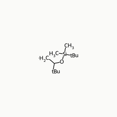 [CH2]C(O[Si](C)(C)C(C)(C)C)C(C)(C)C